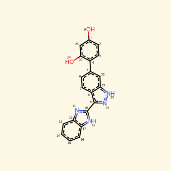 Oc1ccc(-c2ccc3c(-c4nc5ccccc5[nH]4)n[nH]c3c2)c(O)c1